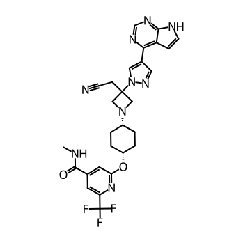 CNC(=O)c1cc(O[C@H]2CC[C@@H](N3CC(CC#N)(n4cc(-c5ncnc6[nH]ccc56)cn4)C3)CC2)nc(C(F)(F)F)c1